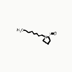 CCCCCCCCN1CCC[C@H]1[C]=O